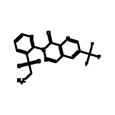 CCS(=O)(=O)c1cccnc1-n1ncc2cc(C(F)(F)F)cnc2c1=O